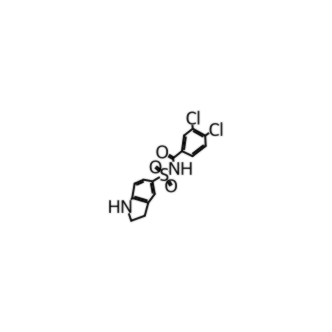 O=C(NS(=O)(=O)c1ccc2c(c1)CCN2)c1ccc(Cl)c(Cl)c1